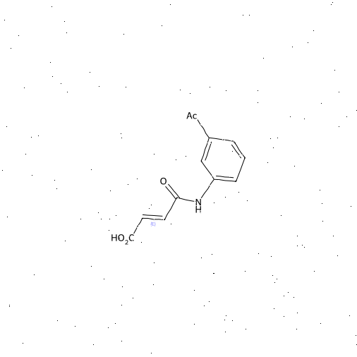 CC(=O)c1cccc(NC(=O)/C=C/C(=O)O)c1